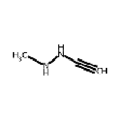 C#CNNC